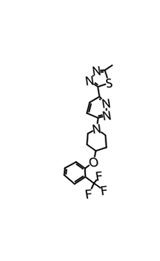 Cc1nnc(-c2ccc(N3CCC(Oc4ccccc4C(F)(F)F)CC3)nn2)s1